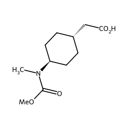 COC(=O)N(C)[C@H]1CC[C@H](CC(=O)O)CC1